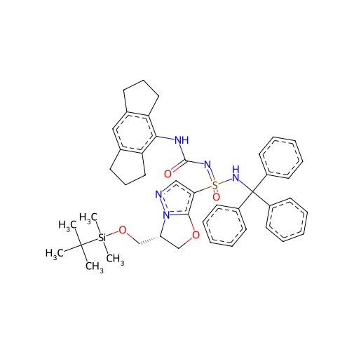 CC(C)(C)[Si](C)(C)OC[C@H]1COc2c(S(=O)(=NC(=O)Nc3c4c(cc5c3CCC5)CCC4)NC(c3ccccc3)(c3ccccc3)c3ccccc3)cnn21